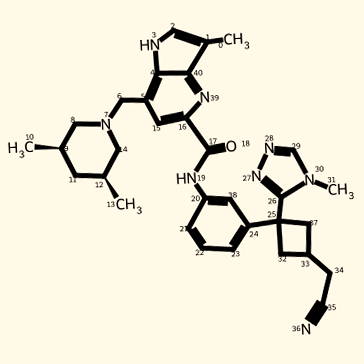 Cc1c[nH]c2c(CN3C[C@H](C)C[C@H](C)C3)cc(C(=O)Nc3cccc(C4(c5nncn5C)CC(CC#N)C4)c3)nc12